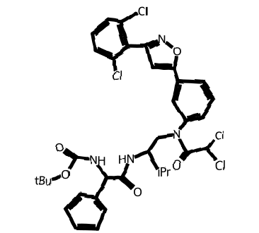 CC(C)C(CN(C(=O)C(Cl)Cl)c1cccc(-c2cc(-c3c(Cl)cccc3Cl)no2)c1)NC(=O)C(NC(=O)OC(C)(C)C)c1ccccc1